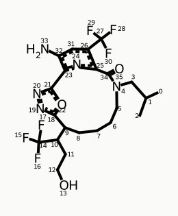 CC(C)CN1CCCCC(C(CCO)C(F)(F)F)c2nnc(o2)-c2nc(c(C(F)(F)F)cc2N)C1=O